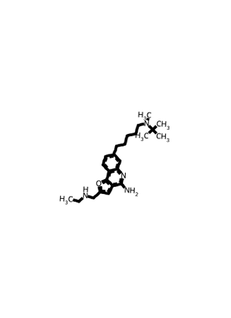 CCNCc1cc2c(N)nc3cc(CCCCCN(C)C(C)(C)C)ccc3c2o1